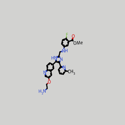 COC(=O)c1cc(NCc2nc(-c3cccc(C)n3)c(-c3ccc4ncc(OCCN)cc4c3)[nH]2)ccc1F